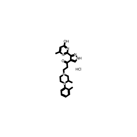 Cc1cc(O)nc(-c2n[nH]cc2C(=O)CCN2CCN(c3ccccc3C)C(C)C2)n1.Cl